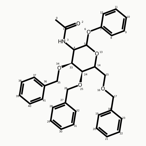 CC(=O)NC1C(Oc2ccccc2)OC(COCc2ccccc2)[C@@H](OCc2ccccc2)[C@H]1OCc1ccccc1